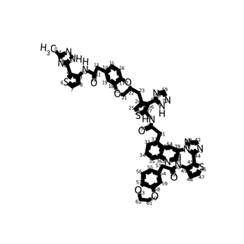 Cc1n[nH]c(-c2sccc2NC(=O)Cc2ccc3c(c2)OCC(Cc2csc(NC(=O)Cc4cccc5ncc(-n6ncnc6-c6sccc6NC(=O)Cc6ccc7c(c6)OCCO7)cc45)c2-c2ncn[nH]2)O3)n1